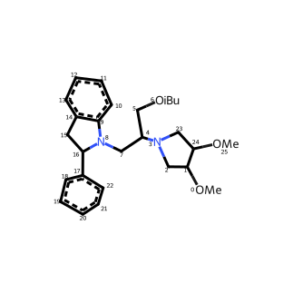 COC1CN(C(COCC(C)C)CN2c3ccccc3CC2c2ccccc2)CC1OC